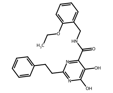 CCOc1ccccc1CNC(=O)c1nc(CCc2ccccc2)nc(O)c1O